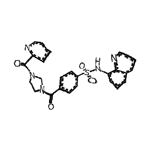 O=C(c1ccc(S(=O)(=O)Nc2cccc3cccnc23)cc1)N1CCN(C(=O)c2ccccn2)C1